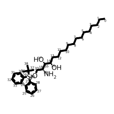 CCCCCCCCCCCCCC[C@@H](O)[C@H](O)[C@H](N)CO[Si](c1ccccc1)(c1ccccc1)C(C)(C)C